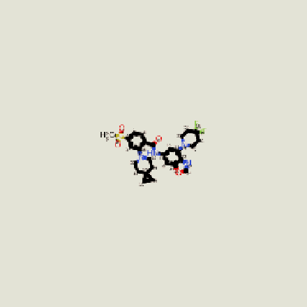 CS(=O)(=O)c1ccc(C(=O)Nc2cc(N3CCC(F)(F)CC3)c3ncoc3c2)c(N2CCC3(CC2)CC3)c1